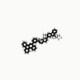 CC1(C)c2ccccc2-c2ccc(C3C=CC4=CC=C(c5cccc(-c6cc7c8ccccc8c8ccccc8c7c7ccccc67)c5)NC4N3)cc21